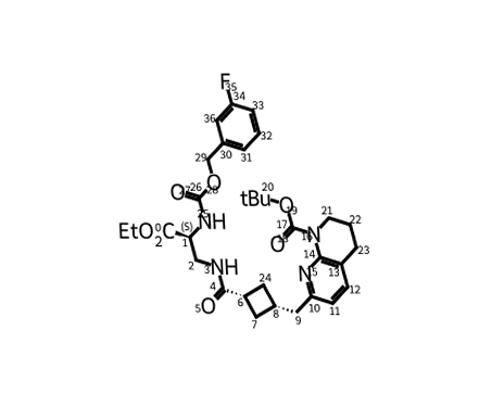 CCOC(=O)[C@H](CNC(=O)[C@H]1C[C@@H](Cc2ccc3c(n2)N(C(=O)OC(C)(C)C)CCC3)C1)NC(=O)OCc1cccc(F)c1